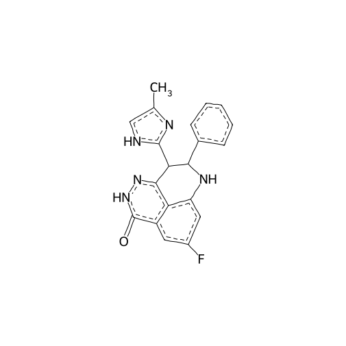 Cc1c[nH]c(C2c3n[nH]c(=O)c4cc(F)cc(c34)NC2c2ccccc2)n1